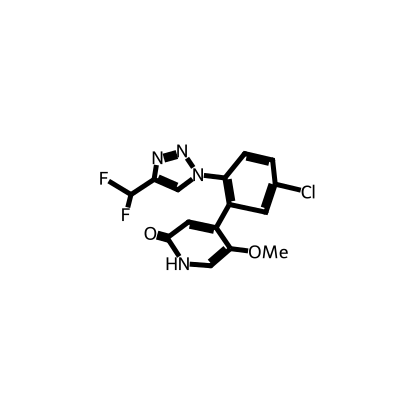 COc1c[nH]c(=O)cc1-c1cc(Cl)ccc1-n1cc(C(F)F)nn1